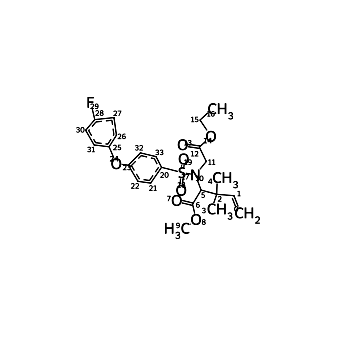 C=CC(C)(C)C(C(=O)OC)N(CC(=O)OCC)S(=O)(=O)c1ccc(Oc2ccc(F)cc2)cc1